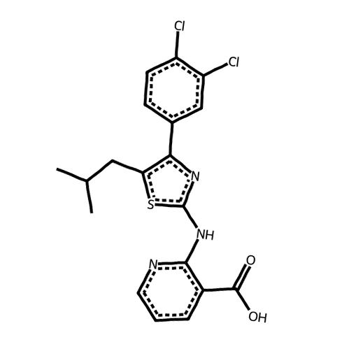 CC(C)Cc1sc(Nc2ncccc2C(=O)O)nc1-c1ccc(Cl)c(Cl)c1